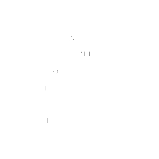 NNC(=O)c1ccccc1C(F)F